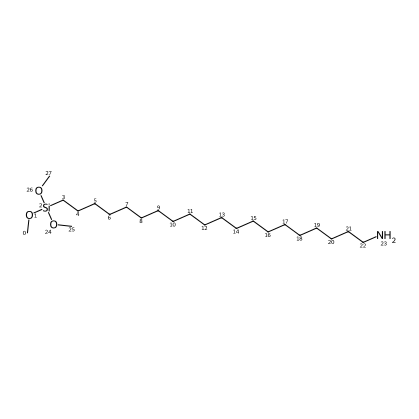 CO[Si](CCCCCCCCCCCCCCCCCCCCN)(OC)OC